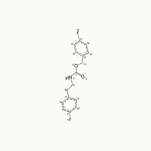 O=C(NCCc1ccc(F)cc1)OCc1ccc(F)cc1